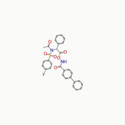 CC(=O)N(C(C(=O)ONC(=O)c1ccc(-c2ccccc2)cc1)c1ccccc1)S(=O)(=O)c1ccc(F)cc1